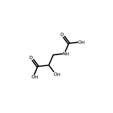 O=C(O)NCC(O)C(=O)O